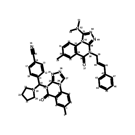 Cc1ccc2c(c1)c(=O)n(C(c1ccc(C#N)cc1)N1CCCC1)c1nncn21.Cc1ccc2c(c1)c(=O)n(CC=Cc1ccccc1)c1nnc(N(C)C)n21